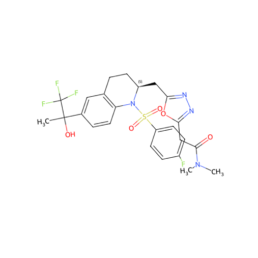 CN(C)C(=O)Cc1nnc(C[C@@H]2CCc3cc(C(C)(O)C(F)(F)F)ccc3N2S(=O)(=O)c2ccc(F)cc2)o1